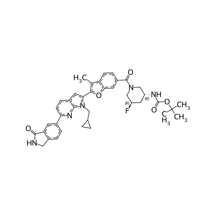 Cc1c(-c2cc3ccc(-c4ccc5c(c4)C(=O)NC5)nc3n2CC2CC2)oc2cc(C(=O)N3C[C@H](F)C[C@@H](NC(=O)OC(C)(C)C)C3)ccc12